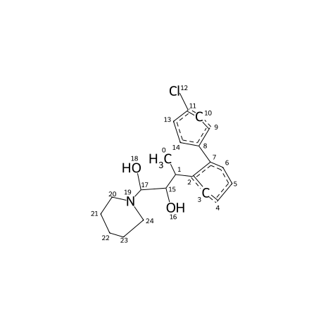 CC(c1ccccc1-c1ccc(Cl)cc1)C(O)C(O)N1CCCCC1